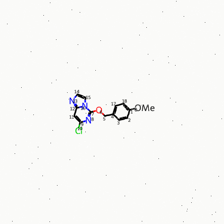 COc1ccc(COc2nc(Cl)cc3nccn23)cc1